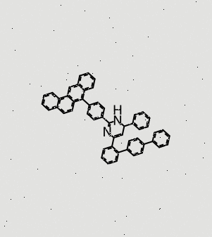 C1=C(c2ccccc2-c2ccc(-c3ccccc3)cc2)N=C(c2ccc(-c3c4ccccc4cc4c3ccc3ccccc34)cc2)NC1c1ccccc1